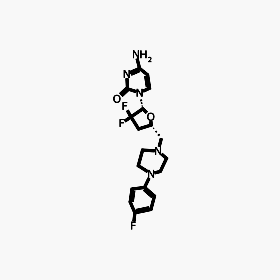 Nc1ccn([C@@H]2O[C@H](CN3CCN(c4ccc(F)cc4)CC3)CC2(F)F)c(=O)n1